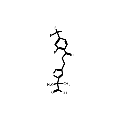 CC(C)(C(=O)O)c1cc(CCC(=O)c2ccc(C(F)(F)F)cc2F)cs1